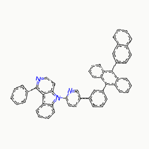 c1ccc(-c2nccc3c2c2ccccc2n3-c2ccc(-c3cccc(-c4c5ccccc5c(-c5ccc6ccccc6c5)c5ccccc45)c3)cn2)cc1